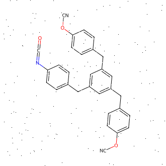 N#COc1ccc(Cc2cc(Cc3ccc(N=C=O)cc3)cc(Cc3ccc(OC#N)cc3)c2)cc1